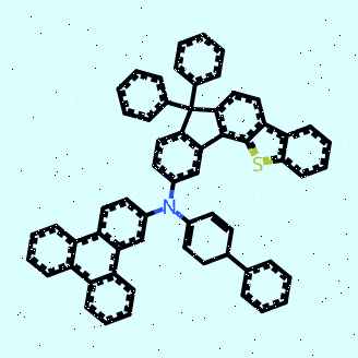 C1=CC(c2ccccc2)CC=C1N(c1ccc2c(c1)-c1c(ccc3c1sc1ccccc13)C2(c1ccccc1)c1ccccc1)c1ccc2c3ccccc3c3ccccc3c2c1